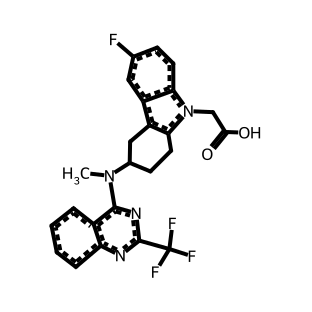 CN(c1nc(C(F)(F)F)nc2ccccc12)C1CCc2c(c3cc(F)ccc3n2CC(=O)O)C1